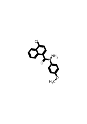 COc1ccc(N(N)C(=O)c2ccc(Cl)c3ccccc23)cc1